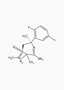 CN=[S@@]1(=O)C[C@@](C)(c2cc(I)ccc2F)N=C(N)C1(C)C